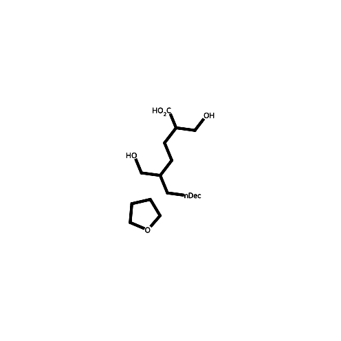 C1CCOC1.CCCCCCCCCCCC(CO)CCC(CO)C(=O)O